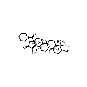 CC(C)C1=C2[C@H]3CC[C@@H]4[C@@]5(C)CC[C@H](O)C(C)(C)[C@@H]5CC[C@@]4(C)[C@]3(C)CC[C@@]2(C(=O)N2CCOCC2)CC1=O